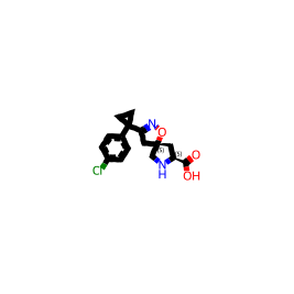 O=C(O)[C@@H]1C[C@@]2(CN1)CC(C1(c3ccc(Cl)cc3)CC1)=NO2